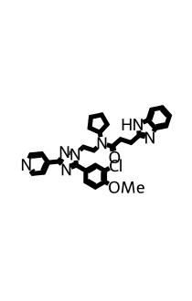 COc1ccc(-c2nc(-c3ccncc3)nn2CCN(C(=O)CCc2nc3ccccc3[nH]2)C2CCCC2)cc1Cl